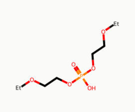 CCOCCOP(=O)(O)OCCOCC